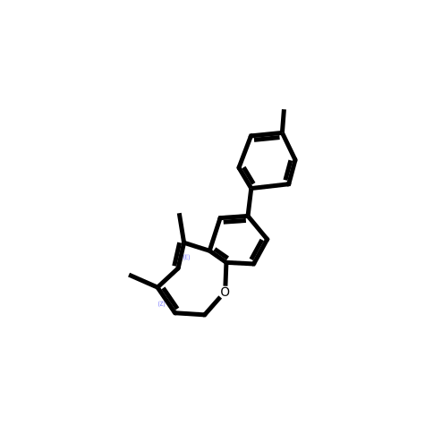 CC1=C/COc2ccc(-c3ccc(C)cc3)cc2\C(C)=C\1